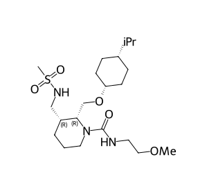 COCCNC(=O)N1CCC[C@H](CNS(C)(=O)=O)[C@@H]1CO[C@H]1CC[C@@H](C(C)C)CC1